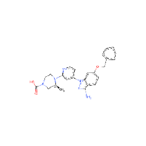 C[C@H]1CN(C(=O)O)CCN1c1cc(-n2nc(N)c3ccc(OCc4ccccc4)cc32)ccn1